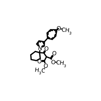 COC(=O)C(C(=O)OC)C(=O)C1(n2ccc(-c3ccc(OC)cc3)c2)CCCCC1